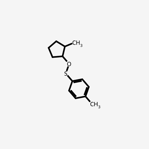 Cc1ccc(SOC2CCCC2C)cc1